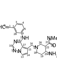 C#Cc1cccc(Nc2ncnn3ccc(CN4CCC(N)C(C(=O)NC)C4)c23)c1